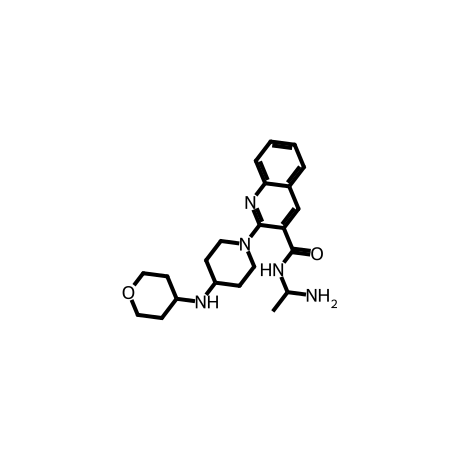 CC(N)NC(=O)c1cc2ccccc2nc1N1CCC(NC2CCOCC2)CC1